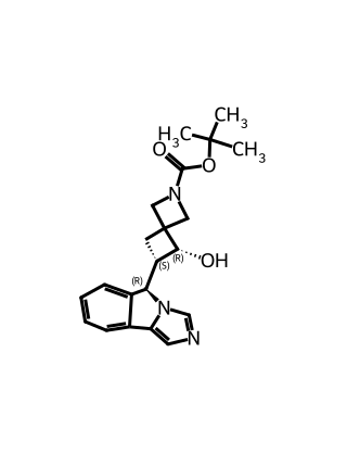 CC(C)(C)OC(=O)N1CC2(C[C@@H]([C@@H]3c4ccccc4-c4cncn43)[C@H]2O)C1